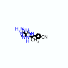 Cc1c(-c2ccc(C#N)cc2)nn(C)c1Nc1cc(NN)ncn1